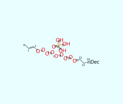 CC=COOOOOOOOOCCCCCCCCCCCC.O=P(O)(O)O